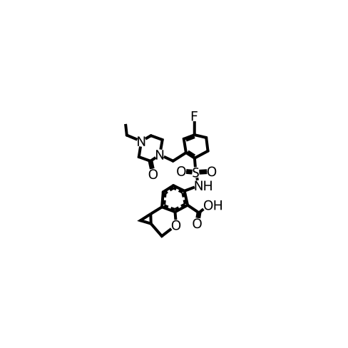 CCN1CCN(CC2=C(S(=O)(=O)Nc3ccc4c(c3C(=O)O)OCC3CC43)CCC(F)=C2)C(=O)C1